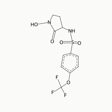 O=C1C(NS(=O)(=O)c2ccc(OC(F)(F)F)cc2)CCN1O